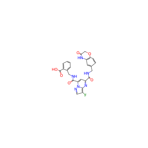 O=C1COc2ccc(CNC(=O)c3cc(C(=O)NCc4ccccc4C(=O)O)n4ncc(F)c4n3)cc2N1